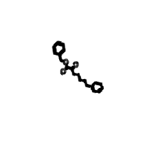 O=C(CCCCCc1ccccc1)C(=O)OCc1ccccc1